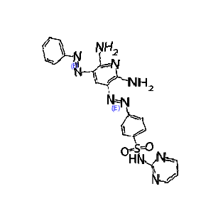 Nc1nc(N)c(/N=N/c2ccc(S(=O)(=O)Nc3ncccn3)cc2)cc1/N=N/c1ccccc1